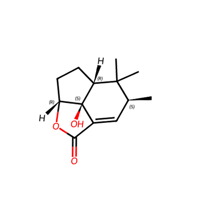 C[C@H]1C=C2C(=O)O[C@@H]3CC[C@H](C1(C)C)[C@]23O